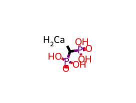 CC(P(=O)(O)O)P(=O)(O)O.[CaH2]